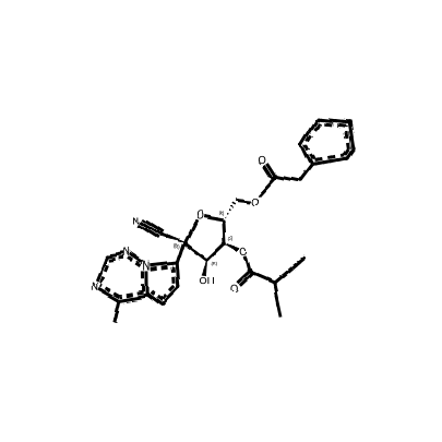 Cc1ncnn2c([C@]3(C#N)O[C@H](COC(=O)Cc4ccccc4)[C@@H](OC(=O)C(C)C)[C@H]3O)ccc12